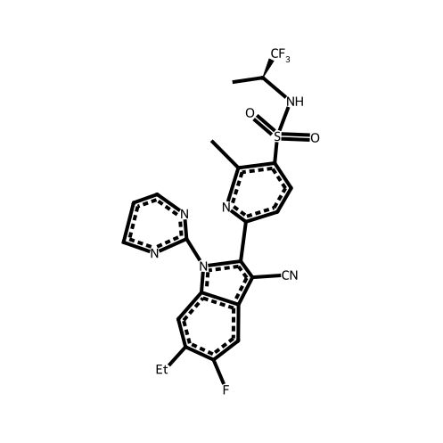 CCc1cc2c(cc1F)c(C#N)c(-c1ccc(S(=O)(=O)N[C@@H](C)C(F)(F)F)c(C)n1)n2-c1ncccn1